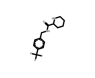 O=C(NCc1ccc(C(F)(F)F)cc1)C1CCCCN1